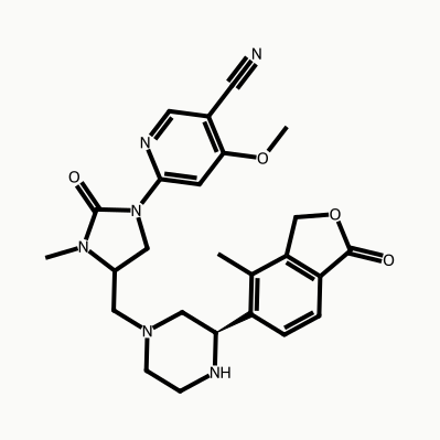 COc1cc(N2CC(CN3CCN[C@H](c4ccc5c(c4C)COC5=O)C3)N(C)C2=O)ncc1C#N